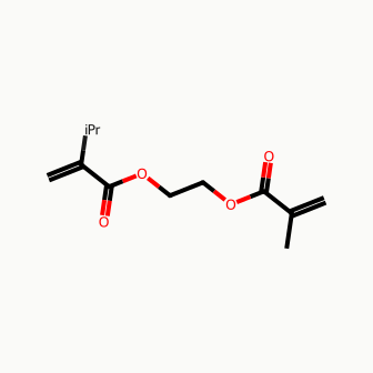 C=C(C)C(=O)OCCOC(=O)C(=C)C(C)C